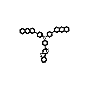 c1ccc2cc3cc(-c4ccc(N(c5ccc(-c6ccc7cc8ccccc8cc7c6)cc5)c5ccc(-c6cc7sc8ccccc8c7cn6)cc5)cc4)ccc3cc2c1